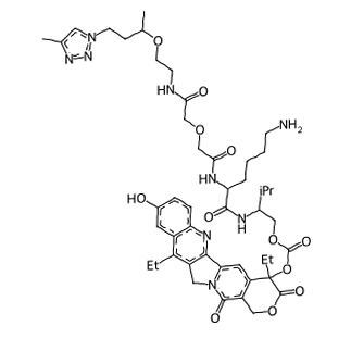 CCc1c2c(nc3ccc(O)cc13)-c1cc3c(c(=O)n1C2)COC(=O)C3(CC)OC(=O)OCC(NC(=O)C(CCCCN)NC(=O)COCC(=O)NCCOC(C)CCn1cc(C)nn1)C(C)C